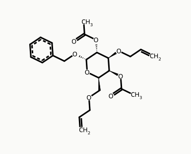 C=CCOC[C@H]1O[C@H](OCc2ccccc2)[C@H](OC(C)=O)[C@@H](OCC=C)[C@H]1OC(C)=O